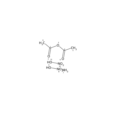 CC(=O)OC(C)=O.N.O=[N+]([O-])O.O=[N+]([O-])O